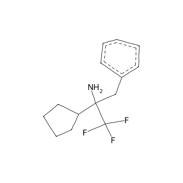 NC(Cc1ccccc1)(C1CCCC1)C(F)(F)F